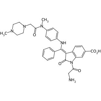 CN1CCN(CC(=O)N(C)c2ccc(NC(=C3C(=O)N(C(=O)CN)c4cc(C(=O)O)ccc43)c3ccccc3)cc2)CC1